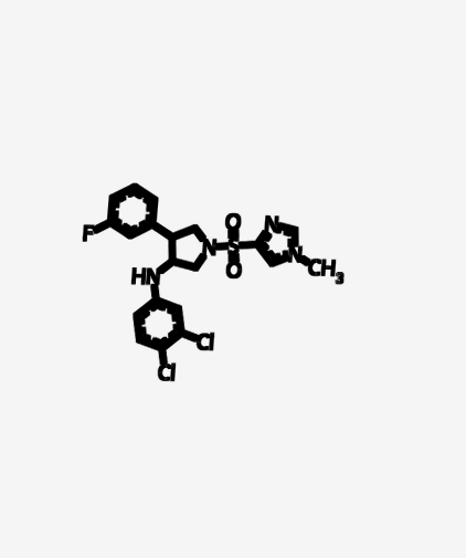 Cn1cnc(S(=O)(=O)N2CC(Nc3ccc(Cl)c(Cl)c3)C(c3cccc(F)c3)C2)c1